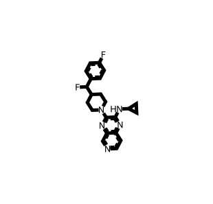 Fc1ccc(C(F)C2CCN(c3nc4cnccc4nc3NC3CC3)CC2)cc1